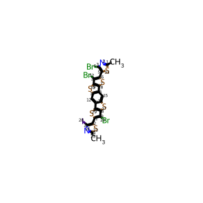 Cc1nc(Br)c(-c2sc3c(sc4cc5c(cc43)sc3c(Br)c(-c4sc(C)nc4I)sc35)c2Br)s1